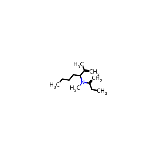 C=C(C)C(CCCC)N(C)C(=C)CC